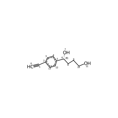 C#Cc1ccc([C@H](O)CCCO)cc1